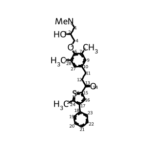 CNCC(O)COc1c(C)cc(CCC(=O)c2cc(-c3ccccc3)c(C)s2)cc1C